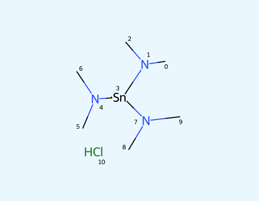 C[N](C)[Sn]([N](C)C)[N](C)C.Cl